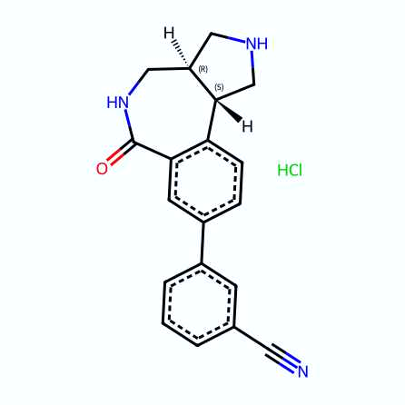 Cl.N#Cc1cccc(-c2ccc3c(c2)C(=O)NC[C@H]2CNC[C@H]32)c1